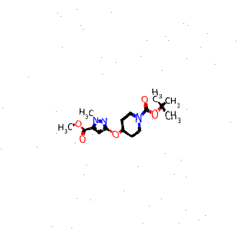 COC(=O)c1cc(OC2CCN(C(=O)OC(C)(C)C)CC2)nn1C